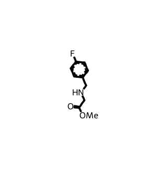 COC(=O)CNCc1ccc(F)cc1